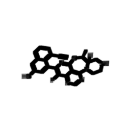 C#Cc1cccc2cc(O)cc(-c3nc4c5c(ncnc5c3F)N3CCNC[C@H]3[C@H](C)O4)c12